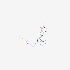 COc1cc(OC)c2sc(-c3cc([C@H]4CCN(C(=O)/C=C/CN(C)C)C4)n4ncnc(N)c34)cc2c1F